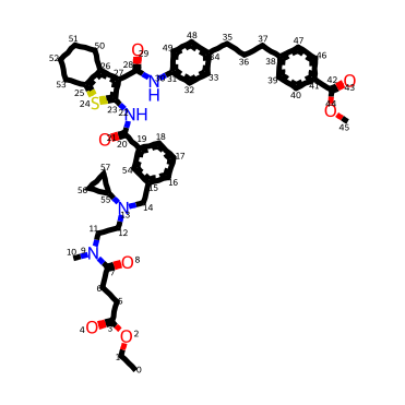 CCOC(=O)CCC(=O)N(C)CCN(Cc1cccc(C(=O)Nc2sc3c(c2C(=O)Nc2ccc(CCCc4ccc(C(=O)OC)cc4)cc2)CCCC3)c1)C1CC1